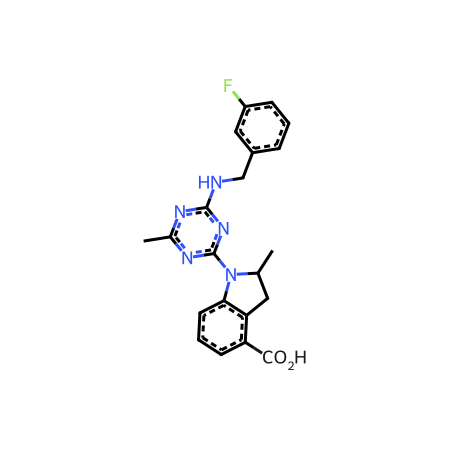 Cc1nc(NCc2cccc(F)c2)nc(N2c3cccc(C(=O)O)c3CC2C)n1